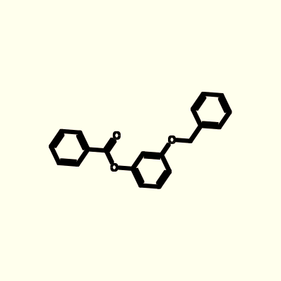 O=C(Oc1cccc(OCc2ccccc2)c1)c1ccccc1